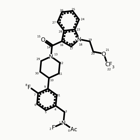 CC(=O)N(F)Cc1ccc(F)c(C2CCN(C(=O)c3cn(CCOC(F)(F)F)c4ccccc34)CC2)c1